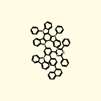 c1ccc(-c2nc(-c3ccccc3)nc(-c3cc(-n4c5ccccc5c5c6c(c7ccccc7n6-c6ccccc6)c6c(c7ccccc7n6-c6ccccc6)c54)cc(-n4c5ccccc5c5ccccc54)c3-c3ccc(-c4cccc5ccccc45)cc3)n2)cc1